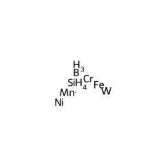 B.[Cr].[Fe].[Mn].[Ni].[SiH4].[W]